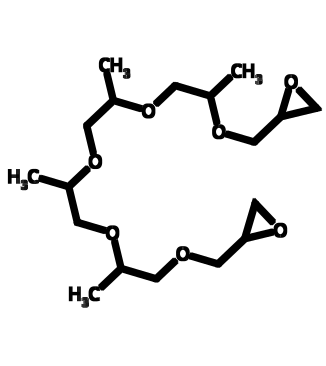 CC(COCC1CO1)OCC(C)OCC(C)OCC(C)OCC1CO1